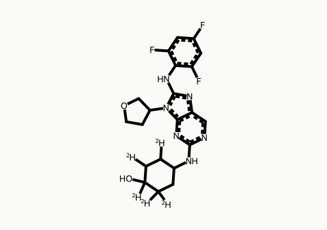 [2H]C1C(Nc2ncc3nc(Nc4c(F)cc(F)cc4F)n(C4CCOC4)c3n2)CC([2H])([2H])C([2H])(O)C1[2H]